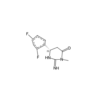 CN1C(=N)N[C@H](c2ccc(F)cc2F)CC1=O